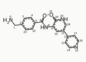 NCc1ccc(C(=O)Nc2cc(-c3ccncc3)c[nH]c2=O)cc1